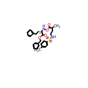 Cc1ccc(S(=O)(=O)NCCC(C)C(=O)ON[C@@H](CCc2ccccc2)C(=O)OCc2ccccc2)cc1